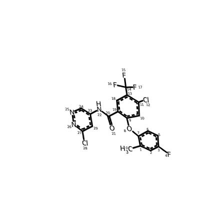 Cc1cc(F)ccc1Oc1cc(Cl)c(C(F)(F)F)cc1C(=O)Nc1cnnc(Cl)c1